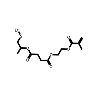 C=C(C)C(=O)OCCOC(=O)CCC(=O)OC(C)CSCC